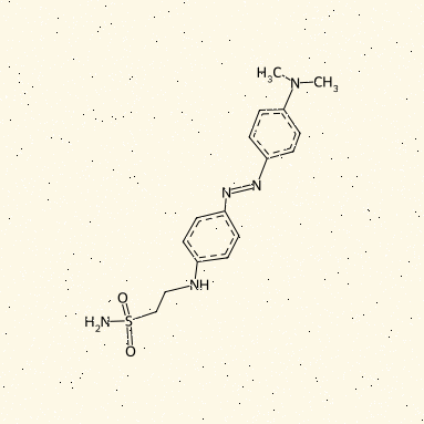 CN(C)c1ccc(N=Nc2ccc(NCCS(N)(=O)=O)cc2)cc1